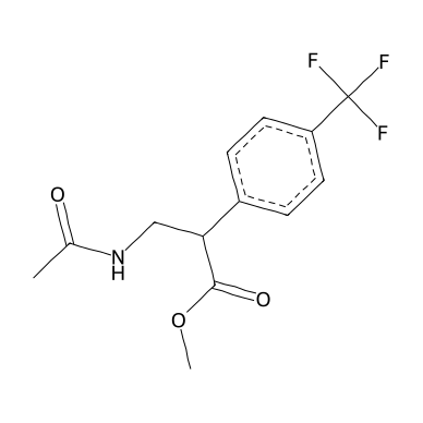 COC(=O)C(CNC(C)=O)c1ccc(C(F)(F)F)cc1